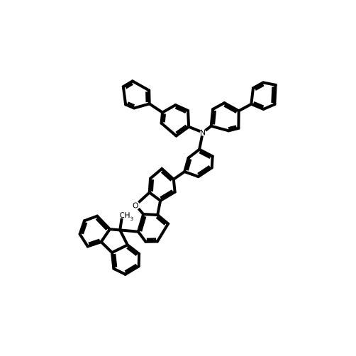 CC1(c2cccc3c2oc2ccc(-c4cccc(N(c5ccc(-c6ccccc6)cc5)c5ccc(-c6ccccc6)cc5)c4)cc23)c2ccccc2-c2ccccc21